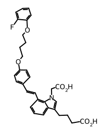 O=C(O)CCCc1cn(CC(=O)O)c2c(C=Cc3ccc(OCCCCOc4ccccc4F)cc3)cccc12